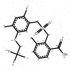 Cc1cc(F)c(CS(=O)(=O)Cc2c(C)cccc2C(=O)O)cc1SCC(F)(F)F